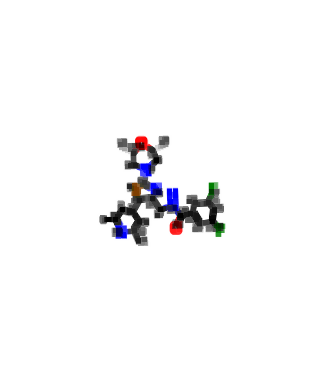 Cc1cc(-c2sc(N3C[C@@H](C)O[C@@H](C)C3)nc2CNC(=O)c2cc(F)cc(F)c2)cc(C)n1